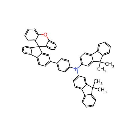 CC1(C)c2ccccc2-c2ccc(N(c3ccc(-c4ccc5c(c4)C4(c6ccccc6Oc6ccccc64)c4ccccc4-5)cc3)c3ccc4c(c3)C(C)(C)c3ccccc3-4)cc21